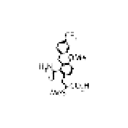 COc1ccc(CC(SC)C(=O)O)c(C(N)=O)c1Cc1ccc(C(F)(F)F)cc1